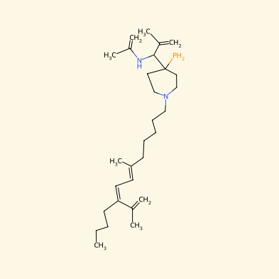 C=C(C)NC(C(=C)C)C1(P)CCN(CCCCC/C(C)=C/C=C(/CCCC)C(=C)C)CC1